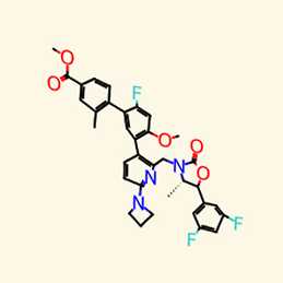 COC(=O)c1ccc(-c2cc(-c3ccc(N4CCC4)nc3CN3C(=O)OC(c4cc(F)cc(F)c4)[C@@H]3C)c(OC)cc2F)c(C)c1